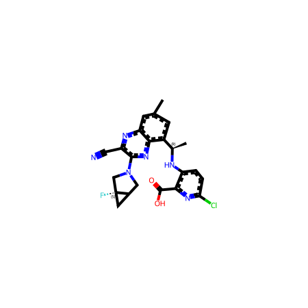 Cc1cc([C@@H](C)Nc2ccc(Cl)nc2C(=O)O)c2nc(N3CC4C[C@@]4(F)C3)c(C#N)nc2c1